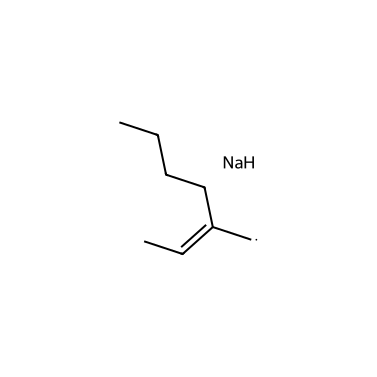 [CH2]C(=CC)CCCC.[NaH]